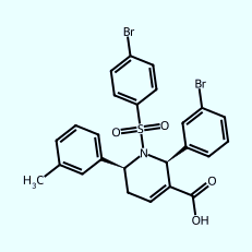 Cc1cccc([C@@H]2CC=C(C(=O)O)[C@H](c3cccc(Br)c3)N2S(=O)(=O)c2ccc(Br)cc2)c1